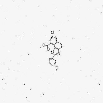 COC(=O)c1cc(Cl)nc2ccc3nc(-c4cccc(OC)c4)oc3c12